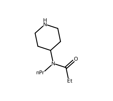 CCCN(C(=O)CC)C1CCNCC1